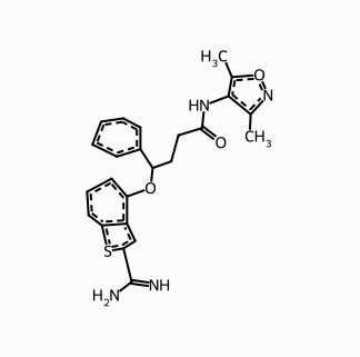 Cc1noc(C)c1NC(=O)CCC(Oc1cccc2sc(C(=N)N)cc12)c1ccccc1